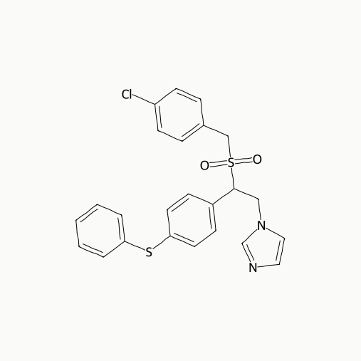 O=S(=O)(Cc1ccc(Cl)cc1)C(Cn1ccnc1)c1ccc(Sc2ccccc2)cc1